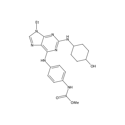 CCn1cnc2c(Nc3ccc(NC(=O)OC)cc3)nc(NC3CCC(O)CC3)nc21